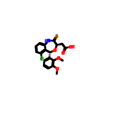 COc1cccc([C@H]2O[C@H](CC(=O)O)C(=S)Nc3cccc(Cl)c32)c1OC